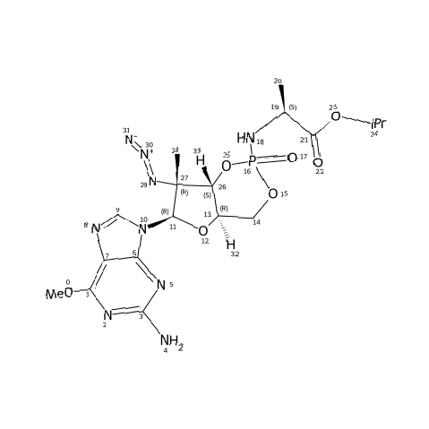 COc1nc(N)nc2c1ncn2[C@@H]1O[C@@H]2COP(=O)(N[C@@H](C)C(=O)OC(C)C)O[C@H]2[C@@]1(C)N=[N+]=[N-]